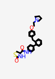 O=C1NC(C(=O)Nc2ccc(-c3ccccc3Cc3ccc(OCCN4CCCC4)cc3)cc2)CS1